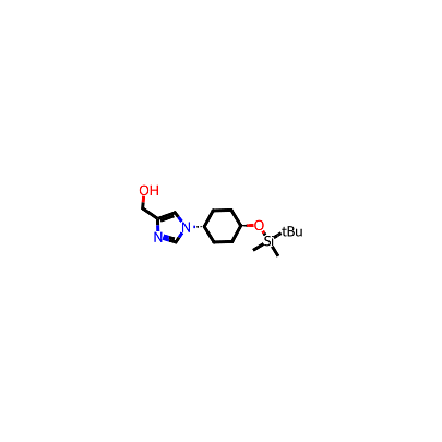 CC(C)(C)[Si](C)(C)O[C@H]1CC[C@H](n2cnc(CO)c2)CC1